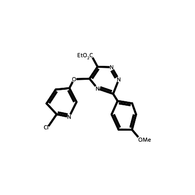 CCOC(=O)c1nnc(-c2ccc(OC)cc2)nc1Oc1ccc(Cl)nc1